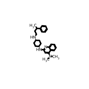 CC(CCN[C@H]1CC[C@@H](Nc2cc(N(C)C)c3ccccc3n2)CC1)c1ccccc1